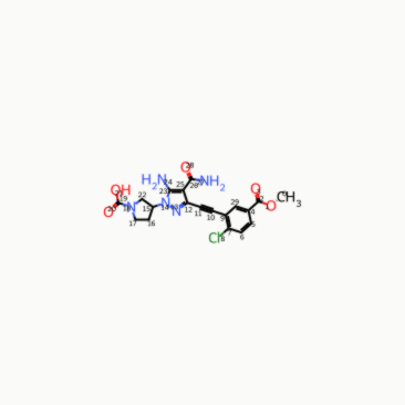 COC(=O)c1ccc(Cl)c(C#Cc2nn(C3CCN(C(=O)O)C3)c(N)c2C(N)=O)c1